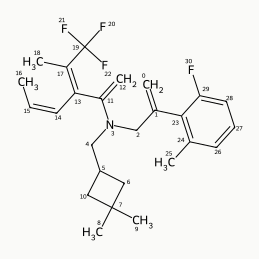 C=C(CN(CC1CC(C)(C)C1)C(=C)C(/C=C\C)=C(/C)C(F)(F)F)c1c(C)cccc1F